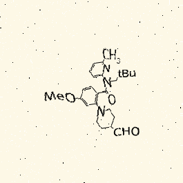 COc1ccc(C(=O)N(CC(C)(C)C)c2cccc(C)n2)c(N2CCC(C=O)CC2)c1